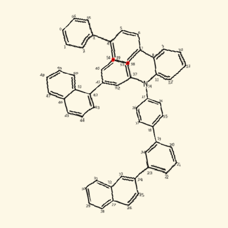 c1ccc(-c2ccc(-c3ccccc3N(c3ccc(-c4cccc(-c5ccc6ccccc6c5)c4)cc3)c3cccc(-c4cccc5ccccc45)c3)cc2)cc1